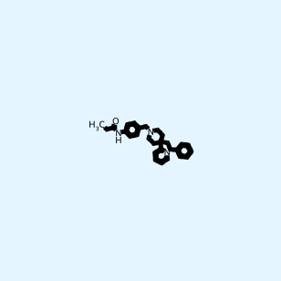 CCC(=O)Nc1ccc(CN2CCC(CCc3ccccc3)(c3ccccn3)CC2)cc1